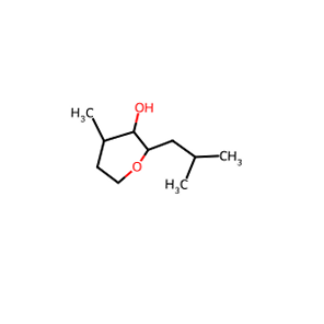 CC(C)CC1OCCC(C)C1O